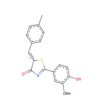 COc1cc(C2=NC(=O)/C(=C/c3ccc(C)cc3)S2)ccc1O